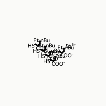 CCCCC(CC)CC(CS)C(=O)[O-].CCCCC(CC)CC(CS)C(=O)[O-].CCCCC(CC)CC(CS)C(=O)[O-].CCCCC(CC)CC(CS)C(=O)[O-].CCCCC(CC)CC(CS)C(=O)[O-].[Sb+5]